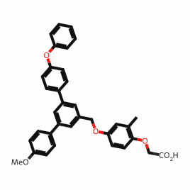 COc1ccc(-c2cc(COc3ccc(OCC(=O)O)c(C)c3)cc(-c3ccc(Oc4ccccc4)cc3)c2)cc1